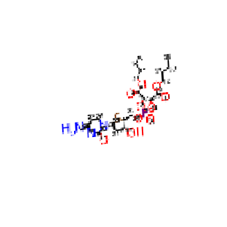 CCCCOC(=O)COP(=O)(OCC(=O)OCCCC)OCC1S[C@@H](n2ccc(N)nc2=O)C[C@H]1O